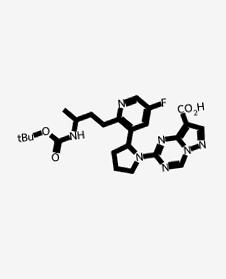 CC(CCc1ncc(F)cc1C1CCCN1c1ncn2ncc(C(=O)O)c2n1)NC(=O)OC(C)(C)C